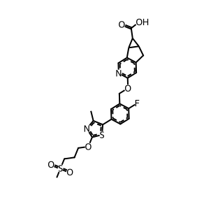 Cc1nc(OCCCS(C)(=O)=O)sc1-c1ccc(F)c(COc2cc3c(cn2)C2C(C3)C2C(=O)O)c1